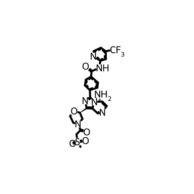 CS(=O)(=O)CC(=O)N1CCO[C@@H](C2=C3C=NC=C[N+]3(N)C(c3ccc(C(=O)Nc4cc(C(F)(F)F)ccn4)cc3)=N2)C1